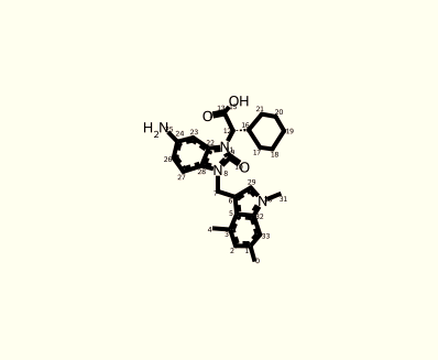 Cc1cc(C)c2c(Cn3c(=O)n([C@H](C(=O)O)C4CCCCC4)c4cc(N)ccc43)cn(C)c2c1